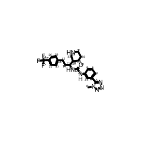 Cn1nnnc1-c1cccc(NC(=O)NC(CCc2ccc(C(F)(F)F)cc2)C2CCCNC2)c1